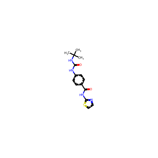 CC(C)(C)NC(=O)Nc1ccc(C(=O)Nc2nccs2)cc1